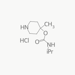 CC(C)NC(=O)OC1(C)CCNCC1.Cl